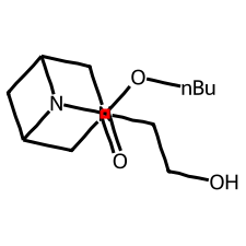 CCCCOC(=O)N1C2CC1CN(CCO)C2